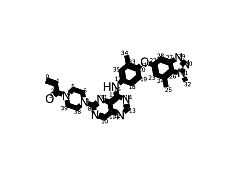 C=CC(=O)N1CCN(c2ncc3ncnc(Nc4ccc(Oc5cc(C)c6c(c5)nnn6C)c(C)c4)c3n2)CC1